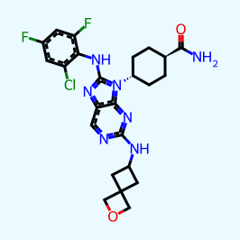 NC(=O)[C@H]1CC[C@H](n2c(Nc3c(F)cc(F)cc3Cl)nc3cnc(NC4CC5(COC5)C4)nc32)CC1